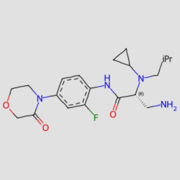 CC(C)CN(C1CC1)[C@H](CN)C(=O)Nc1ccc(N2CCOCC2=O)cc1F